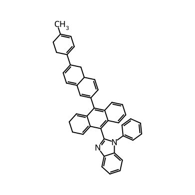 CC1=CC=C(C2=CC=C3C=C(c4c5c(c(-c6nc7ccccc7n6-c6ccccc6)c6ccccc46)=CCCC=5)C=CC3C2)CC1